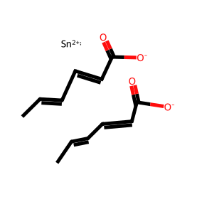 CC=CC=CC(=O)[O-].CC=CC=CC(=O)[O-].[Sn+2]